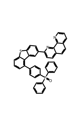 O=P(c1ccccc1)(c1ccccc1)c1ccc(-c2cccc3sc4ccc(-c5ccc6ccc7cccnc7c6n5)cc4c23)cc1